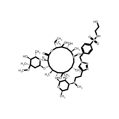 CC[C@H]1OC(=O)[C@H](C)[C@@H](O[C@H]2C[C@@](C)(OC)[C@@H](O)[C@H](C)O2)[C@H](C)[C@@H](O[C@@H]2O[C@H](C)C[C@H](N(C)CCc3cn(Cc4ccc(S(=O)(=O)NCCO)cc4)nn3)[C@H]2O)[C@](C)(O)C[C@@H](C)CN(C)[C@H](C)[C@@H](O)[C@]1(C)O